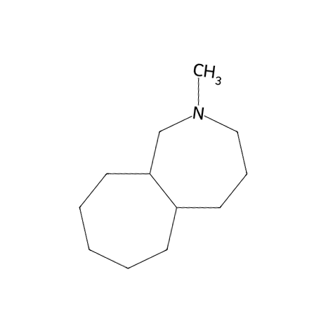 CN1CCCC2CCCCCC2C1